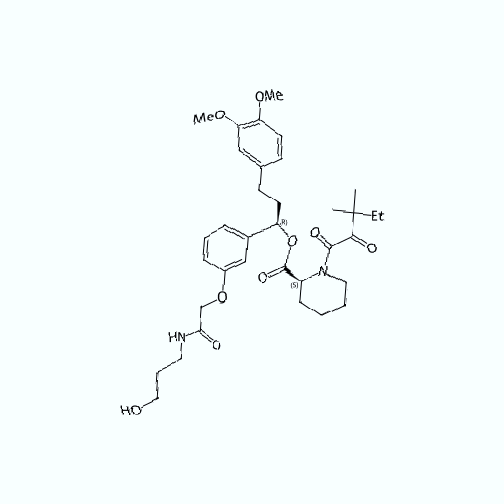 CCC(C)(C)C(=O)C(=O)N1CCCC[C@H]1C(=O)O[C@H](CCc1ccc(OC)c(OC)c1)c1cccc(OCC(=O)NCCCO)c1